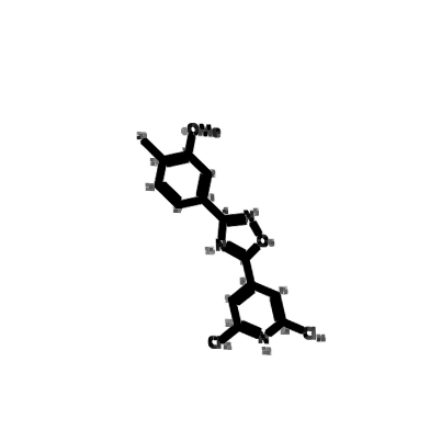 COc1cc(-c2noc(-c3cc(Cl)nc(Cl)c3)n2)ccc1C